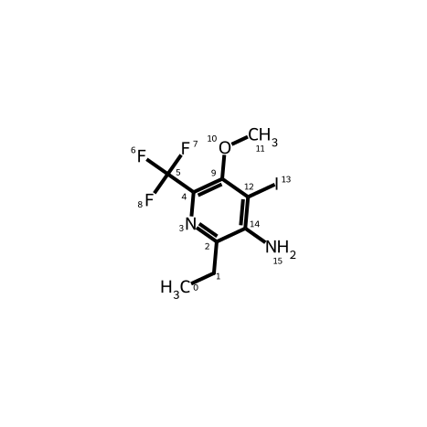 CCc1nc(C(F)(F)F)c(OC)c(I)c1N